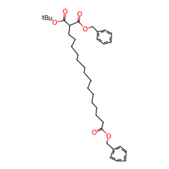 CC(C)(C)OC(=O)C(CCCCCCCCCCCCCCC(=O)OCc1ccccc1)C(=O)OCc1ccccc1